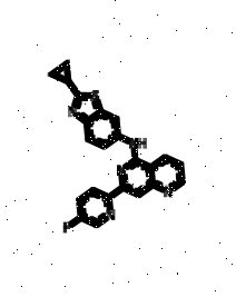 Fc1ccc(-c2cc3ncccc3c(Nc3ccc4nc(C5CC5)sc4c3)n2)nc1